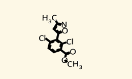 COC(=O)c1ccc(Cl)c(-c2cc(C)no2)c1Cl